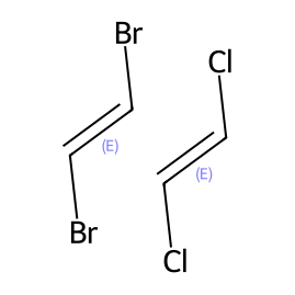 Br/C=C/Br.Cl/C=C/Cl